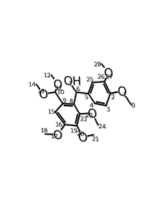 COc1ccc(C(O)c2c(C(OC)OC)cc(OC)c(OC)c2OC)cc1OC